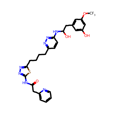 O=C(Cc1ccccn1)Nc1nnc(CCCCc2ccc(NC(O)Cc3cc(O)cc(OC(F)(F)F)c3)nn2)s1